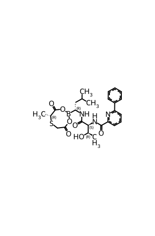 CC(C)C[C@H](NC(=O)[C@@H](NC(=O)c1cccc(-c2ccccc2)n1)[C@@H](C)O)B1OC(=O)CS[C@H](C)C(=O)O1